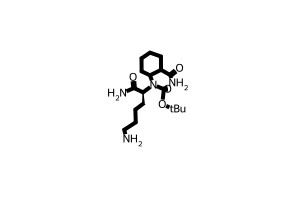 CC(C)(C)OC(=O)N(C1CCCCC1C(N)=O)[C@@H](CCCCN)C(N)=O